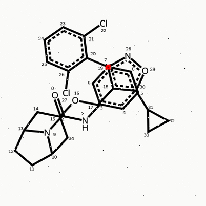 O=C(Nc1cccnc1)N1C2CCC1CC(OCc1c(-c3c(Cl)cccc3Cl)noc1C1CC1)C2